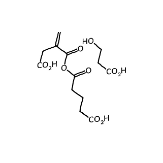 C=C(CC(=O)O)C(=O)OC(=O)CCCC(=O)O.O=C(O)CCO